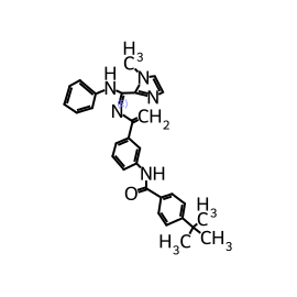 C=C(/N=C(/Nc1ccccc1)c1nccn1C)c1cccc(NC(=O)c2ccc(C(C)(C)C)cc2)c1